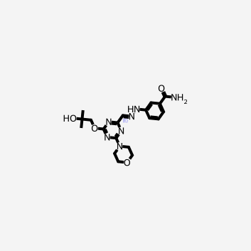 CC(C)(O)COc1nc(/C=N/Nc2cccc(C(N)=O)c2)nc(N2CCOCC2)n1